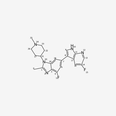 Cc1nc2c(F)cc(-c3c[nH]c4ncc(F)cc34)cc2n1C1CCN(C)CC1